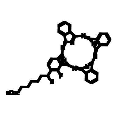 CCCCCCCCCCCCCCC[CH]([Ti])c1ccc2c3nc4nc(nc5[nH]c(nc6nc(nc([nH]3)c2c1F)-c1ccccc1-6)c1ccccc51)-c1ccccc1-4